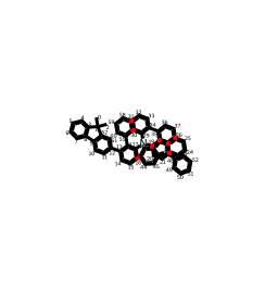 CC1(C)c2ccccc2-c2ccc(-c3cccc(N(c4ccc5ccccc5c4)c4ccccc4-c4cccc5c4c4ccccc4n5-c4ccccc4)c3-c3ccccc3)cc21